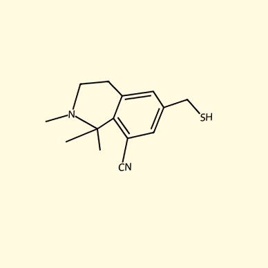 CN1CCc2cc(CS)cc(C#N)c2C1(C)C